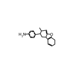 CC1C=C2OC3=C(C=CCC3)C2CC1c1ccc(N)cc1